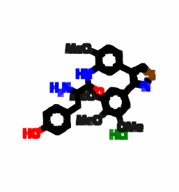 COc1ccc(-c2csnc2-c2cc(OC)c(OC)c(OC)c2)cc1NC(=O)C(N)Cc1ccc(O)cc1.Cl